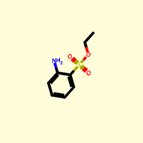 CCOS(=O)(=O)c1ccccc1N